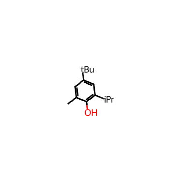 Cc1cc(C(C)(C)C)cc(C(C)C)c1O